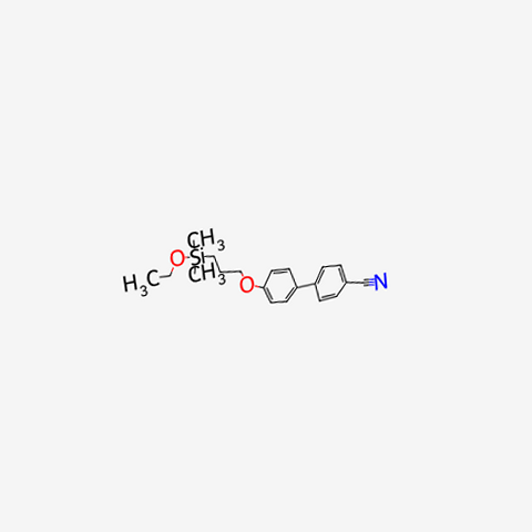 CCO[Si](C)(C)CCCOc1ccc(-c2ccc(C#N)cc2)cc1